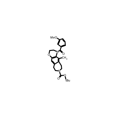 COc1cccc(C(=O)N2CCOc3cc4c(c(C)c32)CCN(C(=O)OC(C)(C)C)CC4)c1